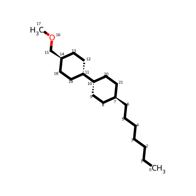 CCCCCCC[C@H]1CC[C@H]([C@H]2CC[C@H](COC)CC2)CC1